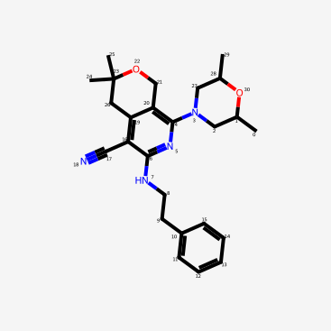 CC1CN(c2nc(NCCc3ccccc3)c(C#N)c3c2COC(C)(C)C3)CC(C)O1